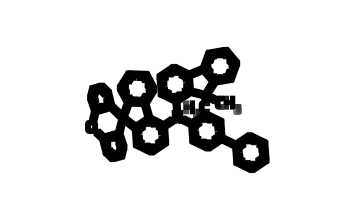 CC1(C)c2ccccc2-c2cccc(N(c3ccc(-c4ccccc4)cc3)c3cccc4c3-c3ccccc3C43c4ccccc4Oc4ccccc43)c21